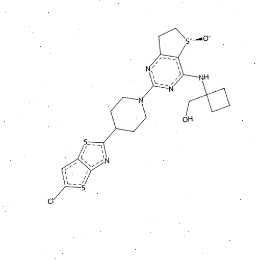 [O-][S@+]1CCc2nc(N3CCC(c4nc5sc(Cl)cc5s4)CC3)nc(NC3(CO)CCC3)c21